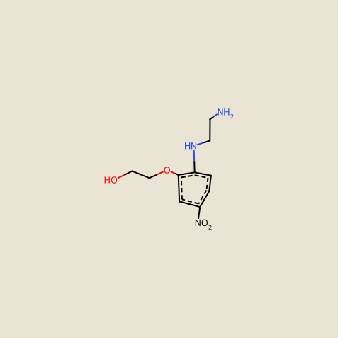 NCCNc1ccc([N+](=O)[O-])cc1OCCO